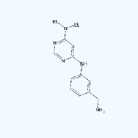 CCN(CC)c1cc(Nc2cccc(CN)c2)ncn1